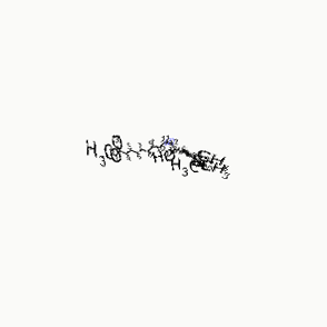 COC(=O)CCCCCCC/C=C\C(O)C#C[Si](C)(C)C